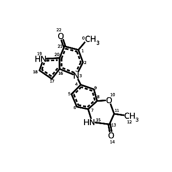 Cc1cn(-c2ccc3c(c2)OC(C)C(=O)N3)c2cc[nH]c2c1=O